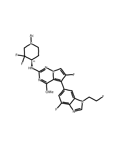 COc1nc(N[C@@H]2CCN(C(C)=O)CC2(F)F)nn2cc(F)c(-c3cc(F)c4ncn(CCF)c4c3)c12